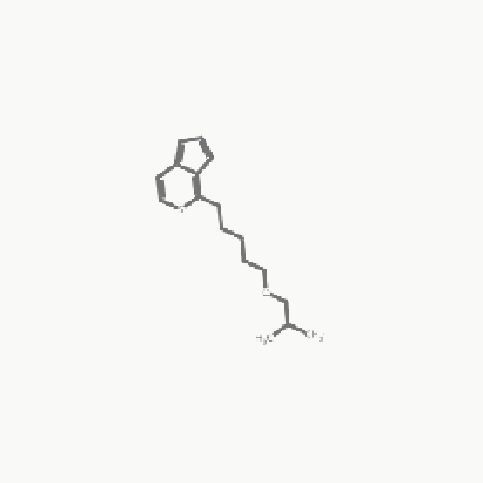 [CH2]C(C)COCCCCCc1sccc2cccc1-2